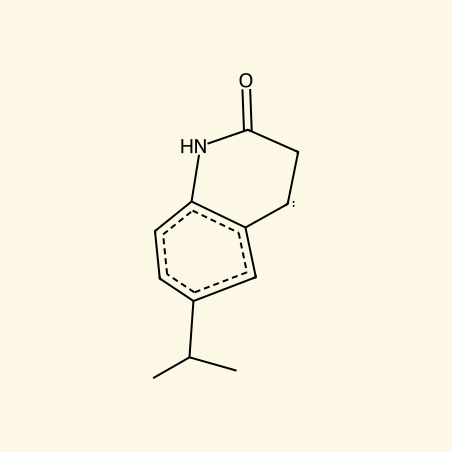 CC(C)c1ccc2c(c1)[C]CC(=O)N2